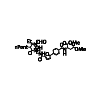 CCCCCC(C(=O)NCNC(=O)c1ccc(-c2ccc(C(=O)NC(CC(=O)OC)C(=O)OC)cc2)o1)[C@@H](CC)N(O)C=O